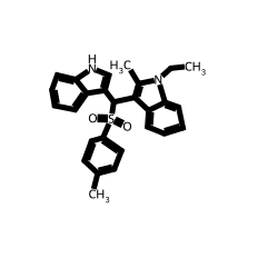 CCn1c(C)c(C(c2c[nH]c3ccccc23)S(=O)(=O)c2ccc(C)cc2)c2ccccc21